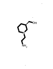 NCCN1CCC[C@@H](CO)C1